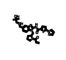 C=CC(=O)N1CCCC1Cn1c(NC(=O)c2ccc(-n3cccn3)s2)nc2cc(CNCC(C)(C)O)ccc21